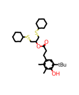 Cc1c(CCC(=O)OC(CSC2CCCCC2)CSC2CCCCC2)cc(C(C)(C)C)c(O)c1C